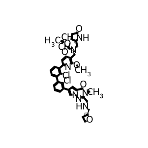 COc1nc(-c2cccc(-c3cccc(-c4cc5c(=O)n(C)c(CNC[C@@H]6CCO6)nn5c4)c3Cl)c2Cl)ccc1CN(CC1CCC(=O)N1)C(=O)OC(C)(C)C